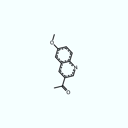 COc1ccc2ncc(C(C)=O)cc2c1